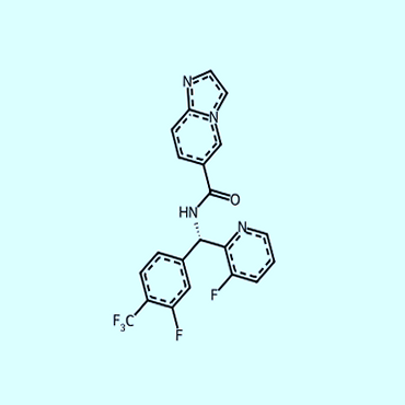 O=C(N[C@@H](c1ccc(C(F)(F)F)c(F)c1)c1ncccc1F)c1ccc2nccn2c1